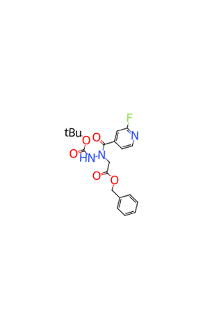 CC(C)(C)OC(=O)NN(CC(=O)OCc1ccccc1)C(=O)c1ccnc(F)c1